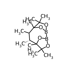 CC1[C@@H](C)C2(C)OB(OC2(C)C)B2OC(C)(C)C1(C)O2